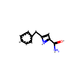 NC(=O)C1=NC(Cc2ccccc2)=C1